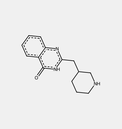 O=c1[nH]c(CC2CCCNC2)nc2ccccc12